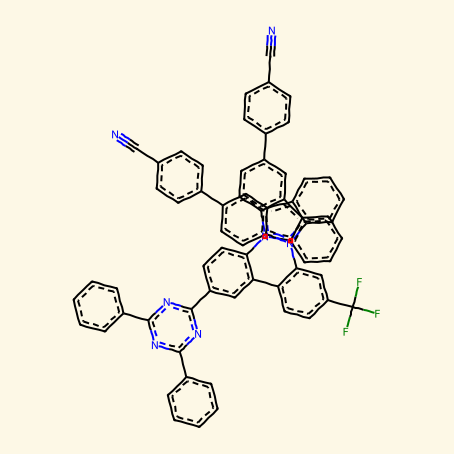 N#Cc1ccc(-c2ccc3c(c2)c2ccccc2n3-c2ccc(-c3nc(-c4ccccc4)nc(-c4ccccc4)n3)cc2-c2ccc(C(F)(F)F)cc2-n2c3ccccc3c3cc(-c4ccc(C#N)cc4)ccc32)cc1